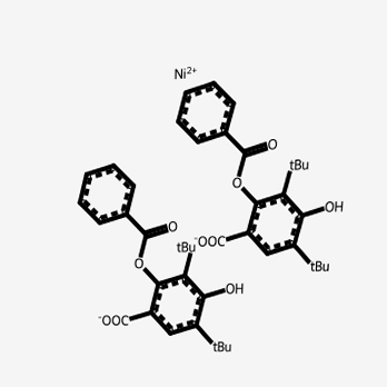 CC(C)(C)c1cc(C(=O)[O-])c(OC(=O)c2ccccc2)c(C(C)(C)C)c1O.CC(C)(C)c1cc(C(=O)[O-])c(OC(=O)c2ccccc2)c(C(C)(C)C)c1O.[Ni+2]